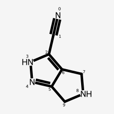 N#Cc1[nH]nc2c1CNC2